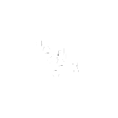 CC(=O)OCCc1cc(-c2ccccc2)cc(OC(=O)c2ccc(Cl)cc2)c1C(F)(F)F